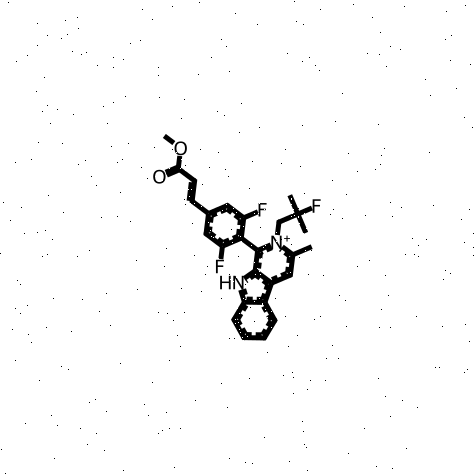 COC(=O)/C=C/c1cc(F)c(-c2c3[nH]c4ccccc4c3cc(C)[n+]2CC(C)(C)F)c(F)c1